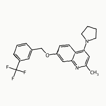 Cc1cc(N2CCCC2)c2ccc(OCc3cccc(C(F)(F)F)c3)cc2n1